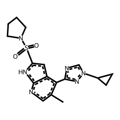 Cc1cnc2[nH]c(S(=O)(=O)N3CCCC3)cc2c1-c1ncn(C2CC2)n1